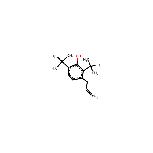 C=CCc1ccc(C(C)(C)C)c(O)c1C(C)(C)C